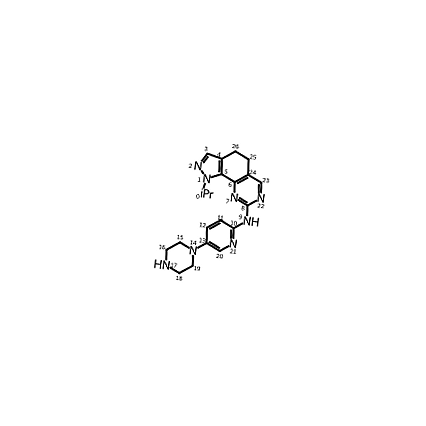 CC(C)n1ncc2c1-c1nc(Nc3ccc(N4CCNCC4)cn3)ncc1CC2